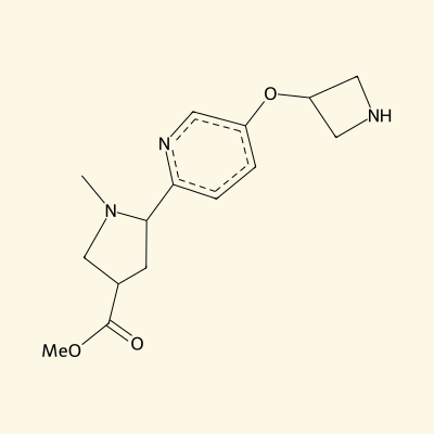 COC(=O)C1CC(c2ccc(OC3CNC3)cn2)N(C)C1